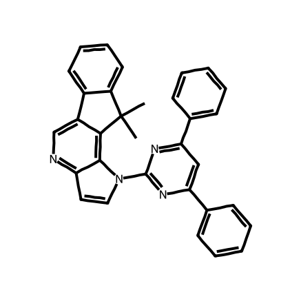 CC1(C)c2ccccc2-c2cnc3ccn(-c4nc(-c5ccccc5)cc(-c5ccccc5)n4)c3c21